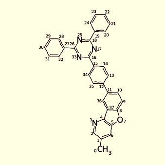 Cc1cnc2c(c1)oc1ccc(-c3ccc(-c4nc(-c5ccccc5)nc(-c5ccccc5)n4)cc3)cc12